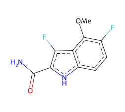 COc1c(F)ccc2[nH]c(C(N)=O)c(F)c12